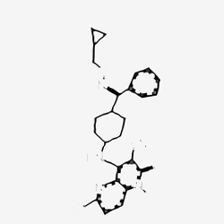 Cn1c(=O)c(C#N)c(NC2CCC(/C(=N/OCC3CC3)c3ccccc3)CC2)c2nc(Cl)ccc21